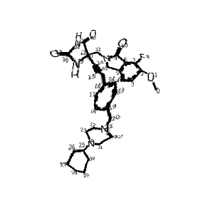 COc1ccc2c(c1F)C(=O)N(C[C@@]1(C#Cc3ccc(CN4CCN(C5CCCCC5)CC4)cc3)NC(=O)NC1=O)C2